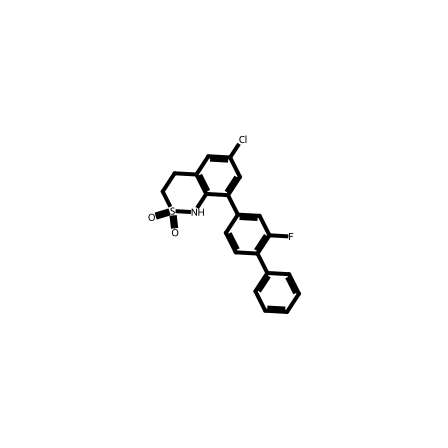 O=S1(=O)CCc2cc(Cl)cc(-c3ccc(-c4ccccc4)c(F)c3)c2N1